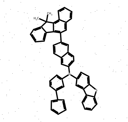 CC1(C)c2ccccc2-c2c(-c3ccc4cc(N(c5cccc(-c6ccccc6)c5)c5ccc6sc7ccccc7c6c5)ccc4c3)cc3ccccc3c21